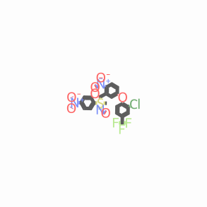 CS(N=O)(C(=O)c1cc(Oc2ccc(C(F)(F)F)cc2Cl)ccc1[N+](=O)[O-])c1ccc([N+](=O)[O-])cc1